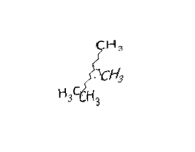 CCCCCC(C[CH]CCC(C)C)CCC